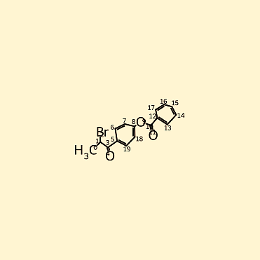 CC(Br)C(=O)c1ccc(OC(=O)c2ccccc2)cc1